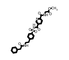 COC(=O)CNC(=O)c1ccc(C(=O)NS(=O)(=O)c2ccc(CCNC(=O)Cc3ccccc3)cc2)cn1